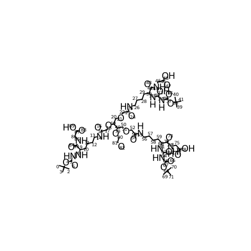 CC(C)(C)OC(=O)NNC(CCCCNC(=O)COC(COCC(=O)NCCCCC(NC(O)NC(=O)OC(C)(C)C)C(=O)NCC(=O)O)C(COCC(=O)NCCCCC(NC(O)NC(=O)OC(C)(C)C)C(=O)NCC(=O)O)OCC=O)C(=O)NCC(=O)O